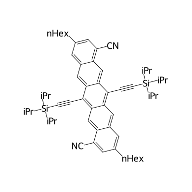 CCCCCCc1cc(C#N)c2cc3c(C#C[Si](C(C)C)(C(C)C)C(C)C)c4cc5cc(CCCCCC)cc(C#N)c5cc4c(C#C[Si](C(C)C)(C(C)C)C(C)C)c3cc2c1